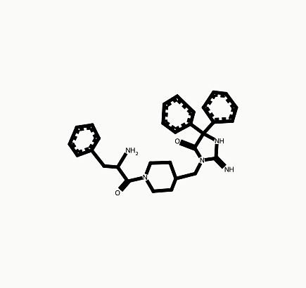 N=C1NC(c2ccccc2)(c2ccccc2)C(=O)N1CC1CCN(C(=O)C(N)Cc2ccccc2)CC1